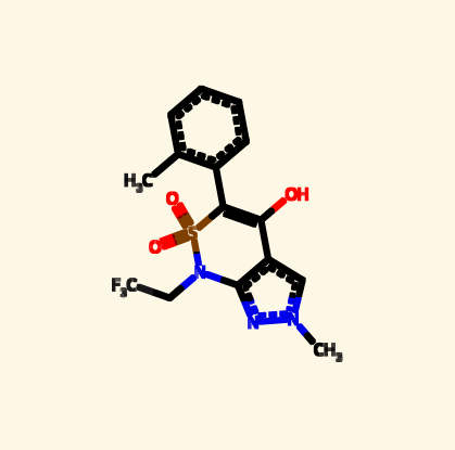 Cc1ccccc1C1=C(O)c2cn(C)nc2N(CC(F)(F)F)S1(=O)=O